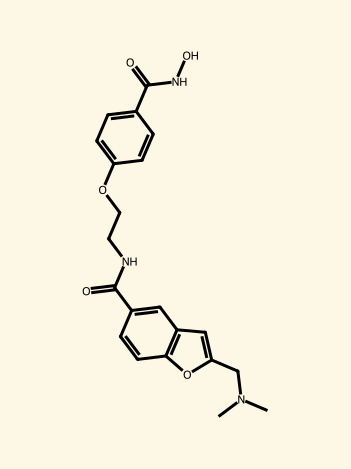 CN(C)Cc1cc2cc(C(=O)NCCOc3ccc(C(=O)NO)cc3)ccc2o1